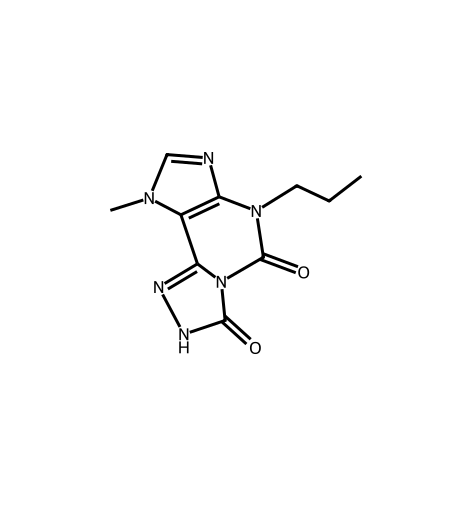 CCCn1c(=O)n2c(=O)[nH]nc2c2c1ncn2C